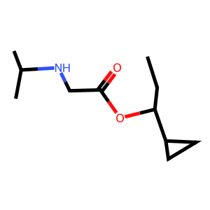 CCC(OC(=O)CNC(C)C)C1CC1